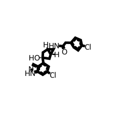 O=C(Cc1ccc(Cl)cc1)N[C@@H]1[C@@H]2C[C@@](O)(c3cc(Cl)cc4[nH]ncc34)C[C@@H]21